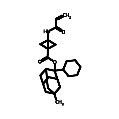 C=CC(=O)NC12CC1(C(=O)OC1(C3CCCCC3)C3CC4CC1CC(C)(C4)C3)C2